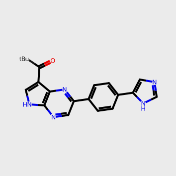 CC(C)(C)C(=O)c1c[nH]c2ncc(-c3ccc(-c4cnc[nH]4)cc3)nc12